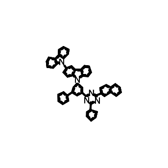 c1ccc(-c2cc(-c3nc(-c4ccccc4)nc(-c4ccc5ccccc5c4)n3)cc(-n3c4ccccc4c4cc(-n5c6ccccc6c6ccccc65)ccc43)c2)cc1